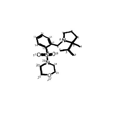 CC(C)C1(C)CCCN1Cc1ccccc1S(=O)(=O)N1CCOCC1